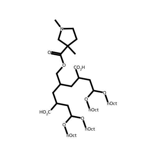 CCCCCCCCOC(CC(CC(COC(=O)C1(C)CCN(C)C1)CC(CC(OCCCCCCCC)OCCCCCCCC)C(=O)O)C(=O)O)OCCCCCCCC